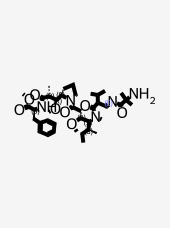 CC[C@H](C)[C@@H]([C@@H](CC(=O)N1CCC[C@H]1[C@H](OC)[C@@H](C)C(=O)N[C@@H](Cc1ccccc1)C(=O)OC)OC)N(C)C(=O)C(/C=N/C(=O)C(C)(C)N)C(C)C